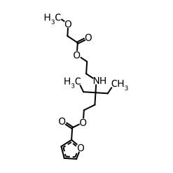 CCC(CC)(CCOC(=O)c1ccco1)NCCOC(=O)COC